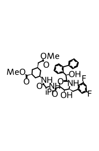 COC(=O)C[C@H]1C[C@@H](NC(=O)C(NC(=O)C[C@H](O)[C@H](Cc2cc(F)cc(F)c2)NC(=O)[C@H](O)c2ccccc2-c2ccccc2)C(C)C)C[C@@H](C(=O)OC)C1